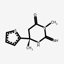 CN1C(=N)N[C@](C)(c2cccs2)CC1=O